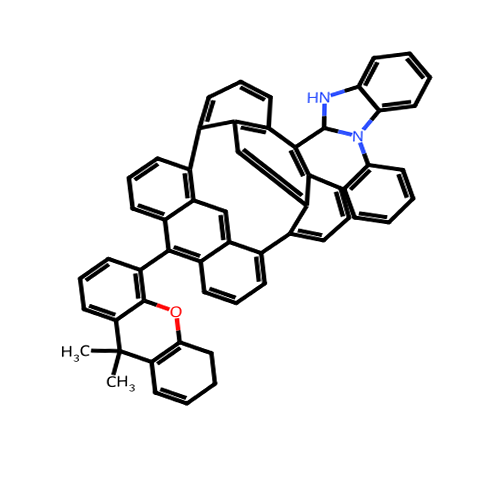 CC1(C)C2=C(CCC=C2)Oc2c(-c3c4cccc5c4cc4c3cccc4c3cccc4c(C6Nc7ccccc7N6c6ccccc6)c6cccc5c6cc43)cccc21